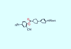 CCCCCCCCCc1ccc(C2CCC(C(=O)Oc3ccc(CCC)cc3C#N)CC2)cc1